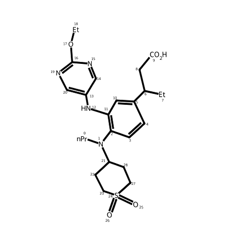 CCCN(c1ccc(C(CC)CC(=O)O)cc1Nc1cnc(OCC)nc1)C1CCS(=O)(=O)CC1